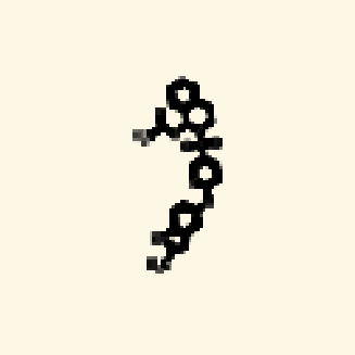 Cc1cc2cc(Oc3ccc(S(=O)(=O)N4CCc5ccccc5C4OC(N)=O)cn3)ccc2[nH]1